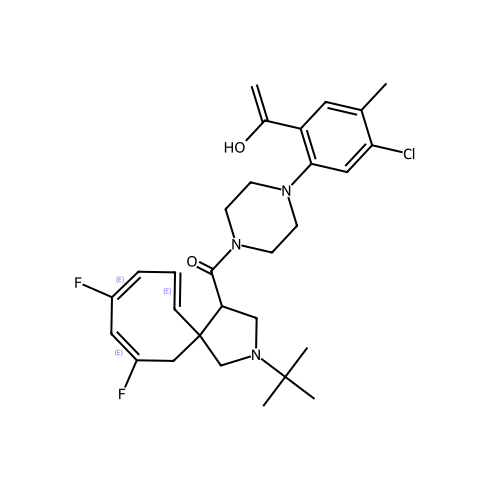 C=C(O)c1cc(C)c(Cl)cc1N1CCN(C(=O)C2CN(C(C)(C)C)CC23/C=C/C=C(F)\C=C(\F)C3)CC1